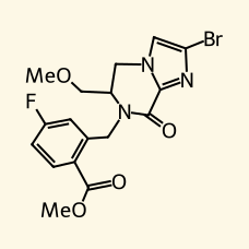 COCC1Cn2cc(Br)nc2C(=O)N1Cc1cc(F)ccc1C(=O)OC